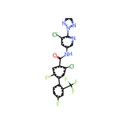 O=C(Nc1cnc(-n2nccn2)c(Cl)c1)c1cc(F)c(-c2ccc(F)cc2C(F)(F)F)cc1Cl